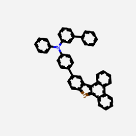 c1ccc(-c2cccc(N(c3ccccc3)c3ccc(-c4ccc5sc6c7ccccc7c7ccccc7c6c5c4)cc3)c2)cc1